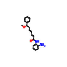 COC(C/C=C/C=C/C(=O)Nc1ccccc1N)c1ccccc1